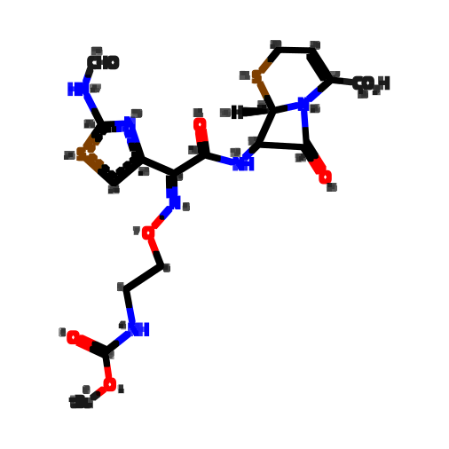 CC(C)(C)OC(=O)NCCON=C(C(=O)NC1C(=O)N2C(C(=O)O)=CCS[C@@H]12)c1csc(NC=O)n1